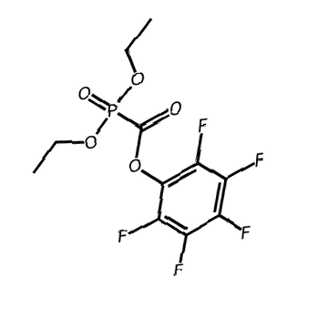 CCOP(=O)(OCC)C(=O)Oc1c(F)c(F)c(F)c(F)c1F